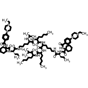 CCCCCC(NC(=O)C(CCCCNC(=O)[C@H](CCC)NC(=O)C1(NC(=O)c2ccc(N3CCN(CC)CC3)cc2)CCCCC1)NC(C)C)C(=O)NC(CCCCNC(=O)[C@H](CCC)NC(=O)C1(NC(=O)c2ccc(N3CCN(CC)CC3)cc2)CCCCC1)C(=O)NC(CCCCC)C(=O)NC(CCCCC)C(=O)C(C)C